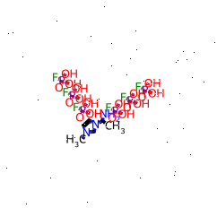 CC(N)N1C=CN(C)C1.O=P(O)(O)F.O=P(O)(O)F.O=P(O)(O)F.O=P(O)(O)F.O=P(O)(O)F.O=P(O)(O)F